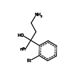 CCCC(O)(CCN)c1ccccc1CC